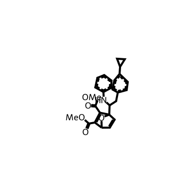 COC(=O)C1=C(C(=O)OC)C2(C(Cc3ccc(C4CC4)cc3)Nc3ccccc3)C=CC1O2